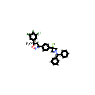 FC1(c2ccc(C3=NO[C@](c4cc(Cl)c(Cl)c(Cl)c4)(C(F)(F)F)C3)cc2)CN(C(c2ccccc2)c2ccccc2)C1